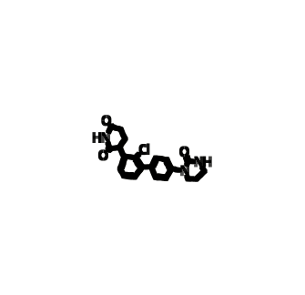 O=C1CCC(c2cccc(-c3ccc(N4CCCNC4=O)cc3)c2Cl)C(=O)N1